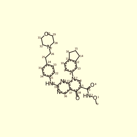 CONC(=O)c1cn(-c2ccc3c(c2)CCC3)c2nc(Nc3ccc(CCN4CCOCC4)cc3)ncc2c1=O